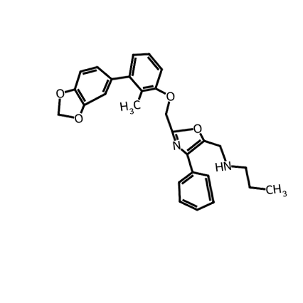 CCCNCc1oc(COc2cccc(-c3ccc4c(c3)OCO4)c2C)nc1-c1ccccc1